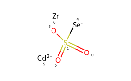 O=S(=O)([O-])[Se-].[Cd+2].[Zr]